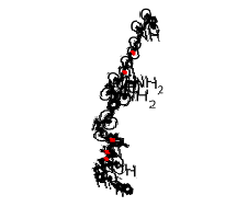 Cc1c(-c2ccc(N3CCc4cccc(C(=O)Nc5nc6ccccc6s5)c4C3)nc2C(=O)O)cnn1CC12CC3(C)CC(C)(C1)CC(OCCN(C)C(=O)OCc1ccc(N(C(=O)[C@@H](NC(=O)CCOCCOCCOCCOCCNC(=O)CCN4C(=O)C=CC4=O)C(C)C)[C@@H](CCCNC(N)=O)C(N)=O)cc1)(C3)C2